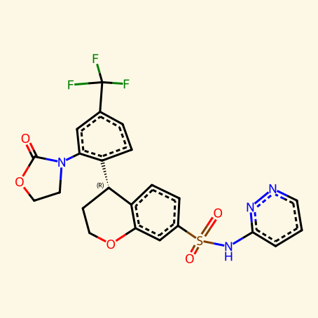 O=C1OCCN1c1cc(C(F)(F)F)ccc1[C@H]1CCOc2cc(S(=O)(=O)Nc3cccnn3)ccc21